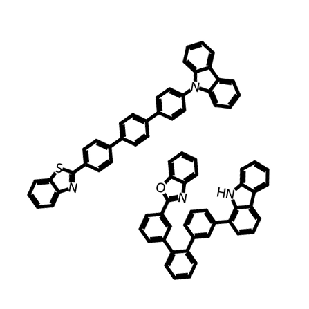 c1cc(-c2nc3ccccc3o2)cc(-c2ccccc2-c2cccc(-c3cccc4c3[nH]c3ccccc34)c2)c1.c1ccc2sc(-c3ccc(-c4ccc(-c5ccc(-n6c7ccccc7c7ccccc76)cc5)cc4)cc3)nc2c1